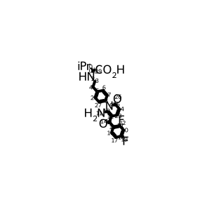 CC(C)[C@H](NCCc1ccc(-n2c(N)c(C(=O)c3ccc(F)cc3F)ccc2=O)cc1)C(=O)O